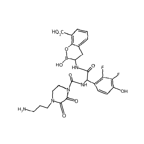 NCCCN1CCN(C(=O)NC(C(=O)NC2Cc3cccc(C(=O)O)c3OB2O)c2ccc(O)c(F)c2F)C(=O)C1=O